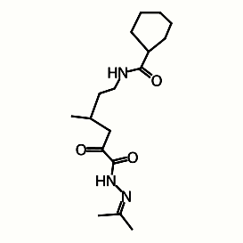 CC(C)=NNC(=O)C(=O)CC(C)CCNC(=O)C1CCCCC1